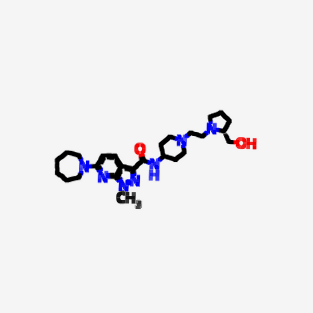 Cn1nc(C(=O)NC2CCN(CCN3CCC[C@H]3CO)CC2)c2ccc(N3CCCCCC3)nc21